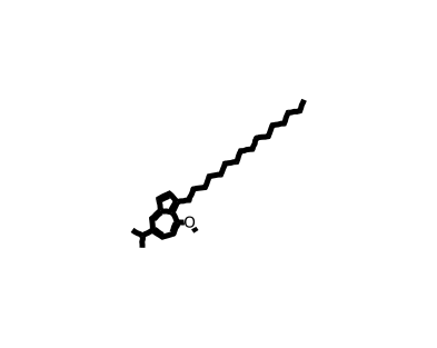 CCCCCCCCCCCCCCCCc1ccc2cc(C(C)C)ccc(OC)c1-2